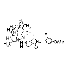 COc1ccc(CCn2ccc3cc(NC(=N[C@H]4C[C@@H](C)C(C)(C)[C@@H](C)[C@@H]4C)N4C[C@@H](C)N[C@@H](C)C4)ccc3c2=O)c(F)c1